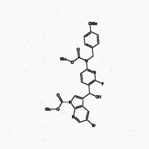 COc1ccc(CN(C(=O)OC(C)(C)C)c2ccc(C(O)c3cn(C(=O)OC(C)(C)C)c4ncc(Br)cc34)c(F)n2)cc1